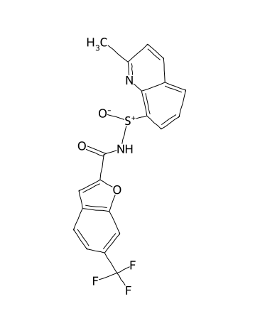 Cc1ccc2cccc([S+]([O-])NC(=O)c3cc4ccc(C(F)(F)F)cc4o3)c2n1